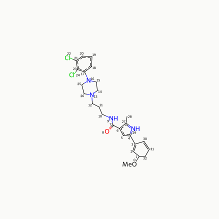 COC1C=C(c2cc(C(=O)NCCCN3CCN(c4cccc(Cl)c4Cl)CC3)c(C)[nH]2)C=CC1